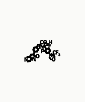 Cn1c(=O)c(-c2ccc(C[C@H](NC(=O)c3c(F)cc(N4CCOC[C@@H]4C(F)(F)F)cc3F)C(=O)O)cc2)cc2cnccc21